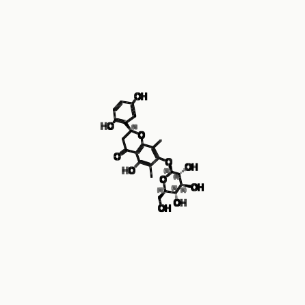 Cc1c(O)c2c(c(C)c1O[C@@H]1O[C@H](CO)[C@@H](O)[C@H](O)[C@H]1O)O[C@H](c1cc(O)ccc1O)CC2=O